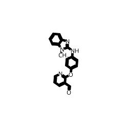 Cn1c(Nc2ccc(Oc3ncccc3C=O)cc2)nc2ccccc21